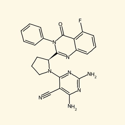 N#Cc1c(N)nc(N)nc1N1CCC[C@H]1c1nc2cccc(F)c2c(=O)n1-c1ccccc1